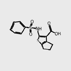 O=C(O)c1c(NS(=O)(=O)c2ccccc2)sc2c1CCC2